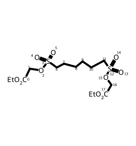 CCOC(=O)COS(=O)(=O)CCCCCCS(=O)(=O)OCC(=O)OCC